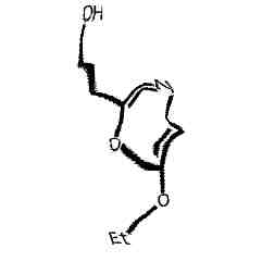 CCOc1cnc(CO)o1